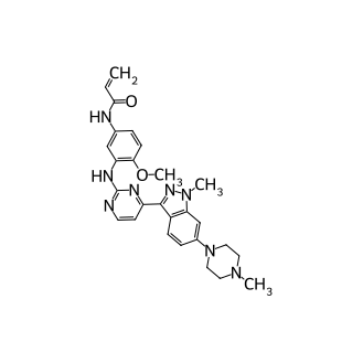 C=CC(=O)Nc1ccc(OC)c(Nc2nccc(-c3nn(C)c4cc(N5CCN(C)CC5)ccc34)n2)c1